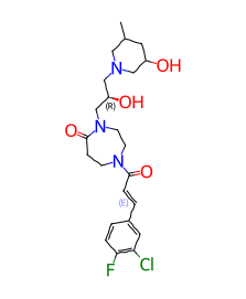 CC1CC(O)CN(C[C@@H](O)CN2CCN(C(=O)/C=C/c3ccc(F)c(Cl)c3)CCC2=O)C1